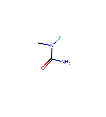 CN(F)C(N)=O